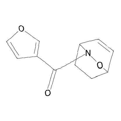 O=C(c1ccoc1)N1OC2C=CC1CC2